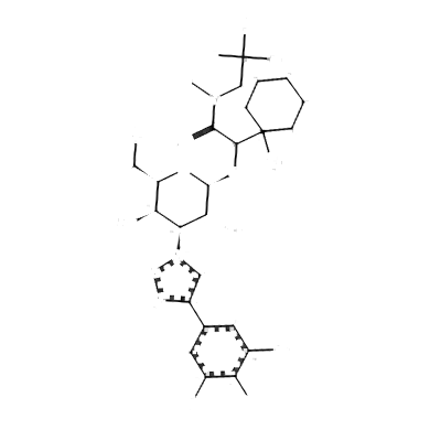 CN(CC(F)(F)F)C(=O)C(S[C@@H]1O[C@H](CO)[C@H](O)[C@H](n2cc(-c3cc(F)c(F)c(F)c3)nn2)[C@H]1O)C1(O)CCCCC1